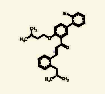 CN(C)CCOc1ccc(-c2ccccc2Br)cc1C(=O)/C=C/c1ccccc1CN(C)C